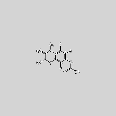 C=C(OC)[C@@H](C)Oc1nc(F)c(Cl)c(NC(C)=O)c1Cl